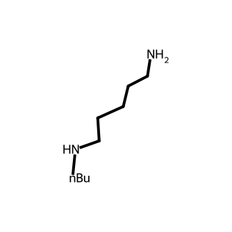 [CH2]CCCNCCCCCN